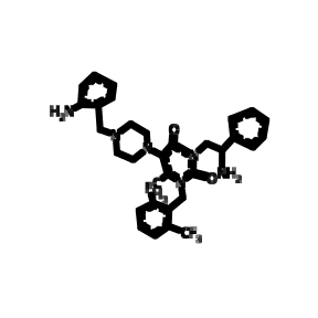 Cc1c(N2CCN(Cc3ccccc3N)CC2)c(=O)n(CC(N)c2ccccc2)c(=O)n1Cc1c(F)cccc1C(F)(F)F